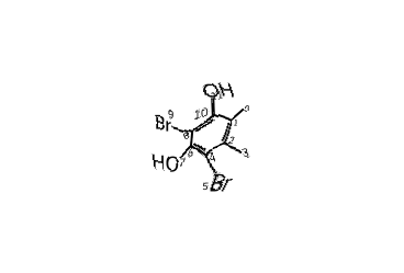 Cc1c(C)c(Br)c(O)c(Br)c1O